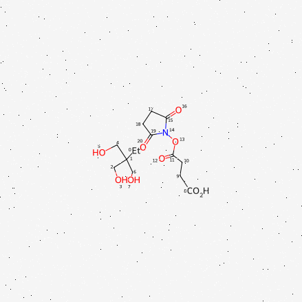 CCC(CO)(CO)CO.O=C(O)CCC(=O)ON1C(=O)CCC1=O